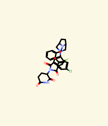 O=C1CCC(N2C(=O)c3cc(F)c(N4CC5CCC(C4)N5Cc4ccccc4-c4ccc(Cl)cc4)cc3C2=O)C(=O)N1